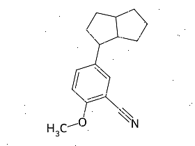 COc1ccc(C2CCC3CCCC32)cc1C#N